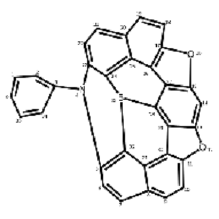 c1ccc(N2c3ccc4ccc5oc6cc7oc8ccc9ccc2c2c9c8c7c7c6c5c4c3B27)cc1